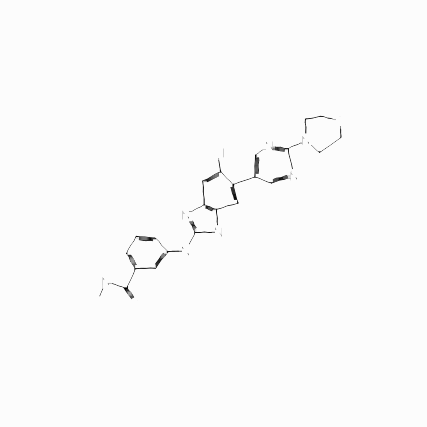 O=C(NO)c1cccc(Nc2nc3cc(C(F)(F)F)c(-c4cnc(N5CCOCC5)nc4)cc3[nH]2)c1